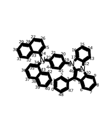 c1ccc(-c2c3ccccc3n3c4ccccc4n(-c4ccc(N(c5cccc6ccccc56)c5cccc6ccccc56)cc4)c23)cc1